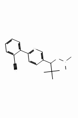 C[SiH](C)OC(c1ccc(-c2ccccc2C#N)nc1)C(C)(C)C